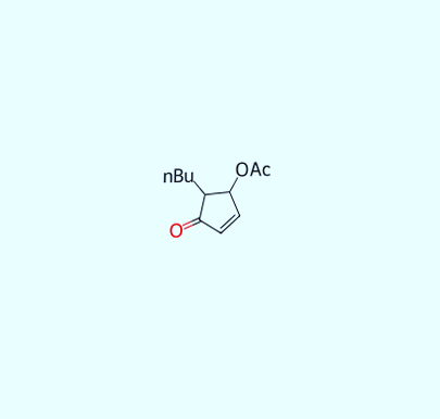 CCCCC1C(=O)C=CC1OC(C)=O